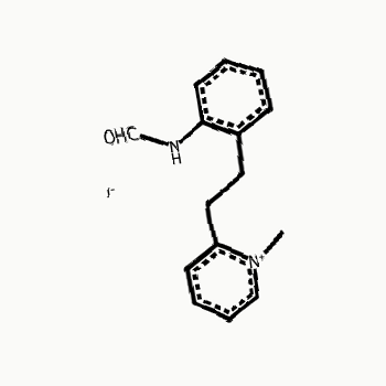 C[n+]1ccccc1CCc1ccccc1NC=O.[I-]